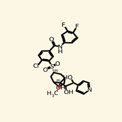 C[C@H]1CC2C[C@@H](S(=O)(=O)c3cc(C(=O)Nc4ccc(F)c(F)c4)ccc3Cl)CC1[C@@]2(O)C(O)C(O)c1ccncc1